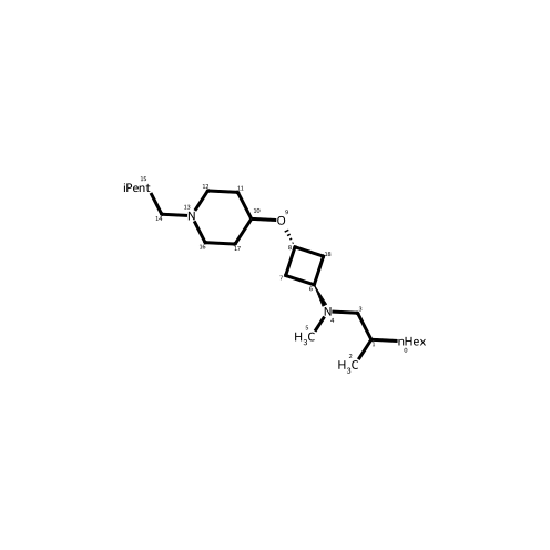 CCCCCCC(C)CN(C)[C@H]1C[C@H](OC2CCN(CC(C)CCC)CC2)C1